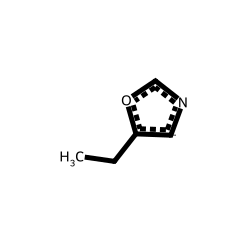 CCc1[c]nco1